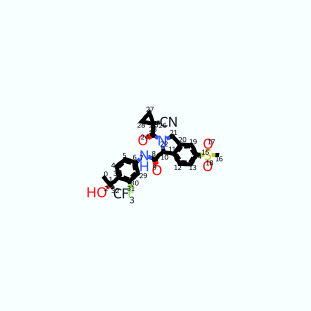 CC(O)(c1ccc(NC(=O)C2c3ccc(S(C)(=O)=O)cc3CN2C(=O)C2(C#N)CC2)cc1F)C(F)(F)F